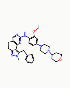 CCOc1cc(N2CCN(C3CCOCC3)CC2)ccc1Nc1ncc2c(n1)-c1c(nn(C)c1Cc1ccccc1)CC2